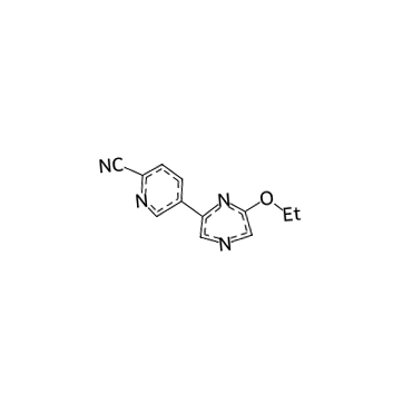 CCOc1cncc(-c2ccc(C#N)nc2)n1